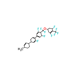 CC1C=CC(C2C=C(F)C(C3=C[C@H](F)C(C(F)(F)OC4CC(F)=C(C(F)(F)F)C(F)C4)C(F)=C3)=CC2)CC1